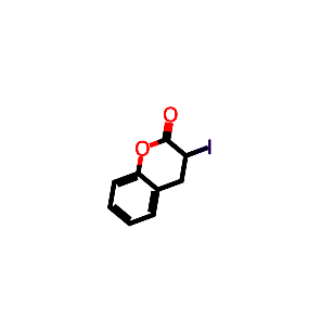 O=C1Oc2ccccc2CC1I